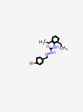 CCc1cccc(CC)c1NC(=O)N/N=C/c1ccc(Br)cc1